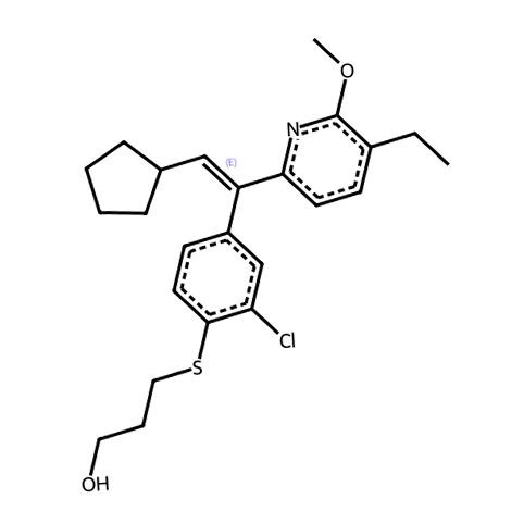 CCc1ccc(/C(=C/C2CCCC2)c2ccc(SCCCO)c(Cl)c2)nc1OC